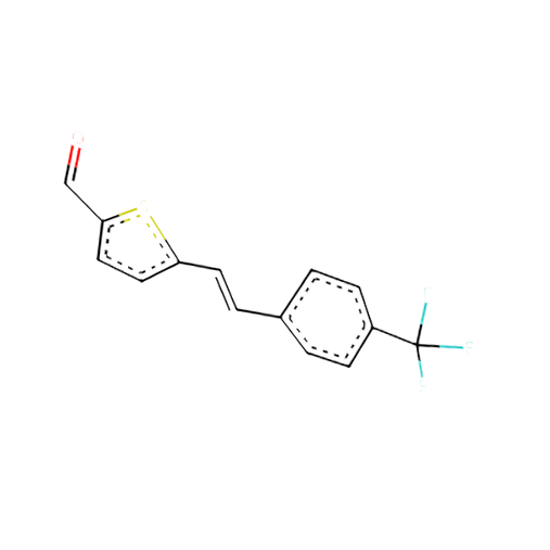 O=Cc1ccc(/C=C/c2ccc(C(F)(F)F)cc2)s1